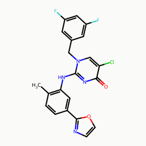 Cc1ccc(-c2ncco2)cc1Nc1nc(=O)c(Cl)cn1Cc1cc(F)cc(F)c1